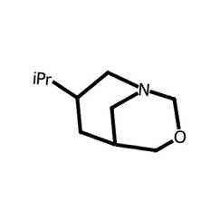 CC(C)C1CC2COCN(C2)C1